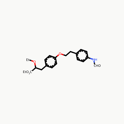 CCOC(=O)C(Cc1ccc(OCCc2ccc(NC=O)cc2)cc1)OCC